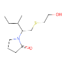 CCC(C)C(CSCCO)N1CCCC1=O